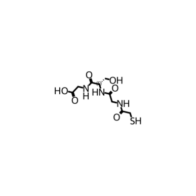 O=C(O)CNC(=O)[C@H](CO)NC(=O)CNC(=O)CS